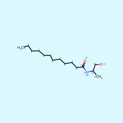 CCCCCCCCCCCC(=O)NC(C)C[O]